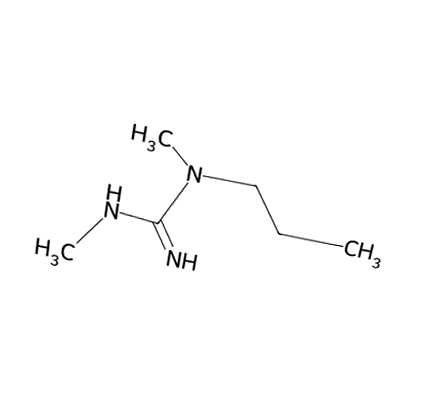 CCCN(C)C(=N)NC